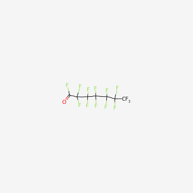 O=C(F)C(F)(F)C(F)(F)C(F)(F)C(F)(F)C(F)(F)C(F)(F)F